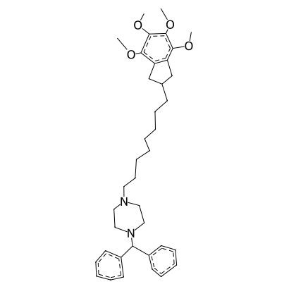 COc1c2c(c(OC)c(OC)c1OC)CC(CCCCCCCCN1CCN(C(c3ccccc3)c3ccccc3)CC1)C2